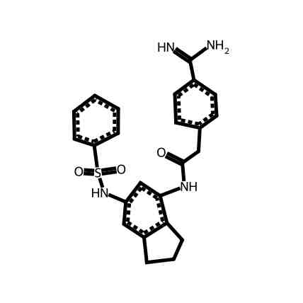 N=C(N)c1ccc(CC(=O)Nc2cc(NS(=O)(=O)c3ccccc3)cc3c2CCC3)cc1